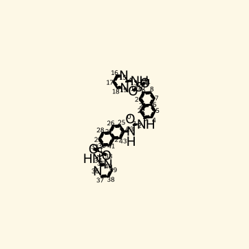 O=C(Nc1ccc2ccc(S(=O)(=O)Nc3ncccn3)cc2c1)Nc1ccc2ccc(S(=O)(=O)Nc3ncccn3)cc2c1